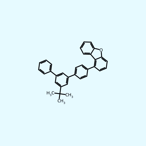 CC(C)(C)c1cc(-c2ccccc2)cc(-c2ccc(-c3cccc4oc5ccccc5c34)cc2)c1